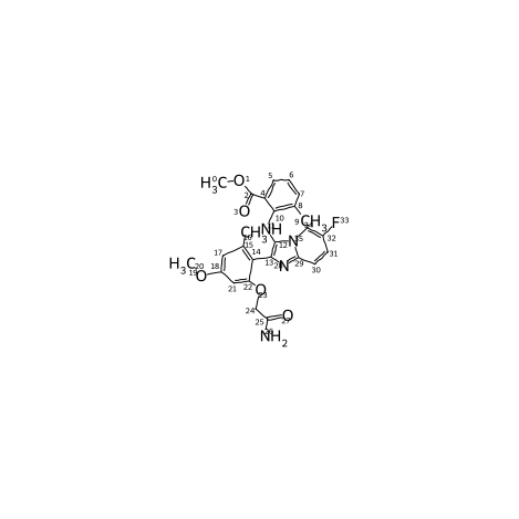 COC(=O)c1cccc(C)c1Nc1c(-c2c(C)cc(OC)cc2OCC(N)=O)nc2ccc(F)cn12